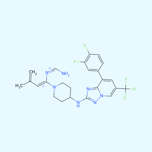 C=C(C)/C=C(\N=C/N)N1CCC(Nc2nc3c(-c4ccc(F)c(F)c4)cc(C(F)(F)F)cn3n2)CC1